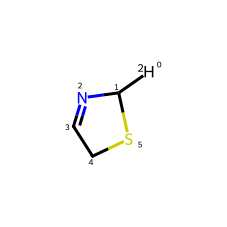 [2H]C1N=CCS1